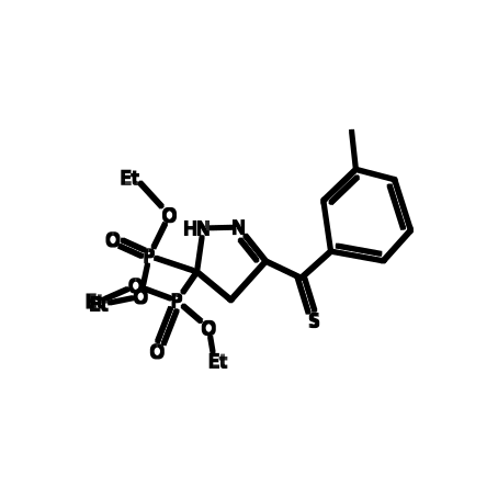 CCOP(=O)(OCC)C1(P(=O)(OCC)OCC)CC(C(=S)c2cccc(C)c2)=NN1